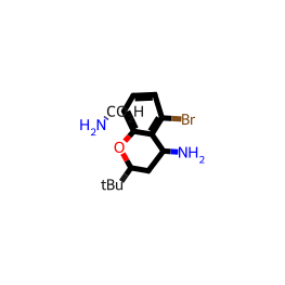 CC(C)(C)C1CC(N)c2c(Br)cccc2O1.NC(=O)O